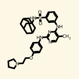 Cc1cnc(Nc2ccc(OCCN3CCCC3)cc2)nc1Nc1cccc(S(=O)(=O)NC23CC4CC(CC(C4)C2)C3)c1